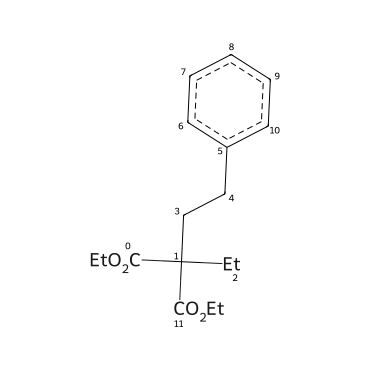 CCOC(=O)C(CC)(CCc1ccccc1)C(=O)OCC